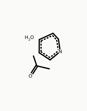 CC(C)=O.O.c1ccncc1